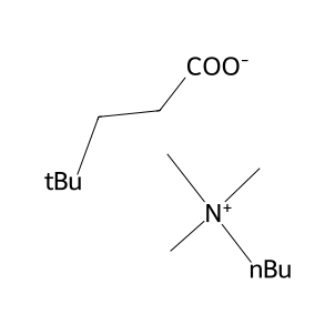 CC(C)(C)CCC(=O)[O-].CCCC[N+](C)(C)C